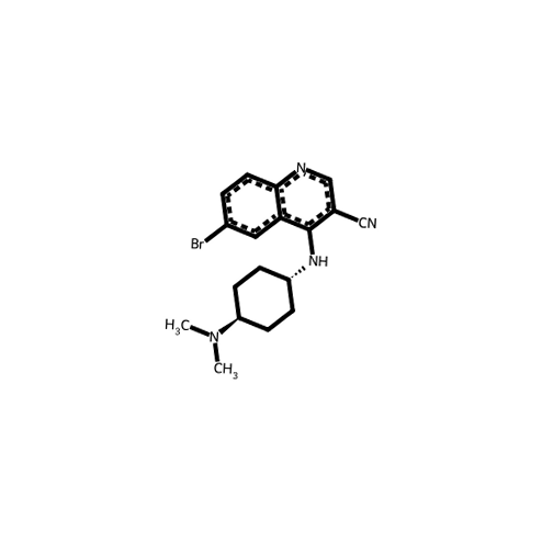 CN(C)[C@H]1CC[C@H](Nc2c(C#N)cnc3ccc(Br)cc23)CC1